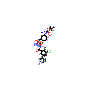 Cn1cnc(-c2cc(Cl)c(F)c(C(=O)NNS(=O)(=O)CC3CCCC(NC(=O)OC(C)(C)C)C3)c2)c1